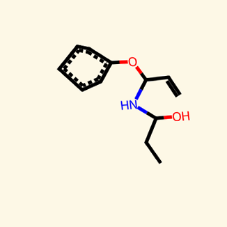 C=CC(NC(O)CC)Oc1ccccc1